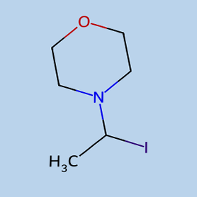 CC(I)N1CCOCC1